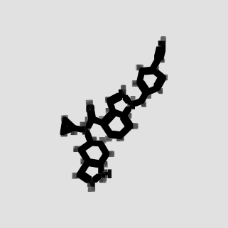 N#Cc1ccc(Cn2ncc3c(C(=O)N(C4CC4)C4CCc5[nH]ncc5C4)cccc32)cc1